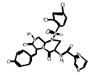 CC(C)N1CC2N(C(=O)C(NC(=O)c3cnccn3)CN2S(=O)(=O)c2ccc(Cl)cc2Cl)C(Cc2ccc(Cl)cc2)C1=O